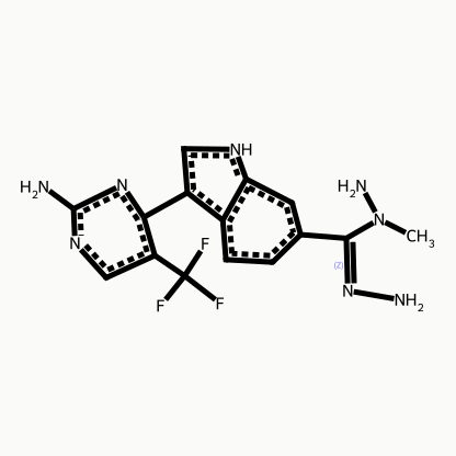 CN(N)/C(=N\N)c1ccc2c(-c3nc(N)ncc3C(F)(F)F)c[nH]c2c1